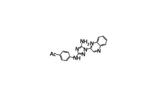 CC(=O)c1ccc(Nc2nc(N)n(-c3cnc4ccccc4n3)n2)cc1